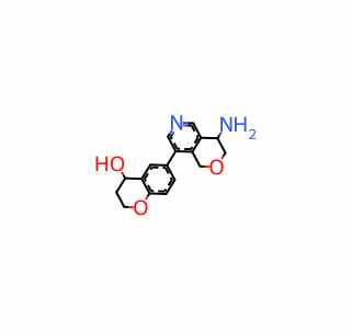 NC1COCc2c(-c3ccc4c(c3)C(O)CCO4)cncc21